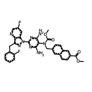 COC(=O)c1ccc2cc(CN(C(=O)OC)c3c(N)nc(-n4nc(Cc5ccccc5F)c5ncc(F)cc54)nc3N)ccc2c1